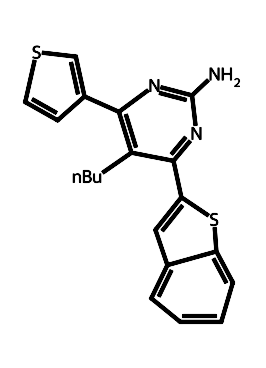 CCCCc1c(-c2ccsc2)nc(N)nc1-c1cc2ccccc2s1